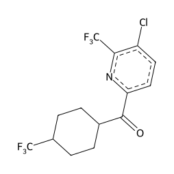 O=C(c1ccc(Cl)c(C(F)(F)F)n1)C1CCC(C(F)(F)F)CC1